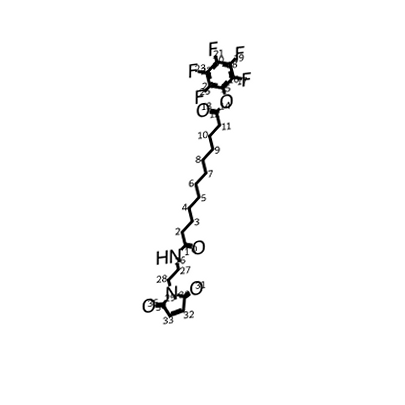 O=C(CCCCCCCCCCC(=O)Oc1c(F)c(F)c(F)c(F)c1F)NCCN1C(=O)C=CC1=O